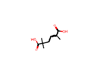 C/C(=C\CC(C)(C)C(=O)O)C(=O)O